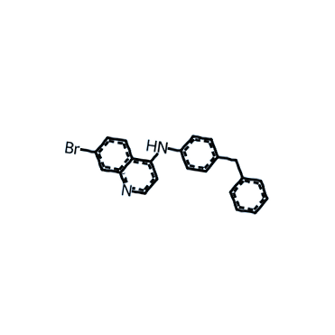 Brc1ccc2c(Nc3ccc(Cc4ccccc4)cc3)ccnc2c1